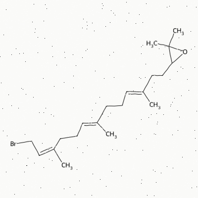 C/C(=C/CBr)CC/C=C(\C)CC/C=C(\C)CCC1OC1(C)C